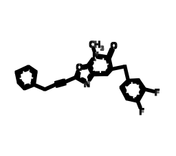 Cn1c(=O)c(Cc2ccc(F)c(F)c2)cc2nc(C#CCc3ccccc3)oc21